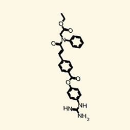 CCOC(=O)CN(C(=O)/C=C/c1ccc(C(=O)Oc2ccc(NC(=N)N)cc2)cc1)c1ccccc1